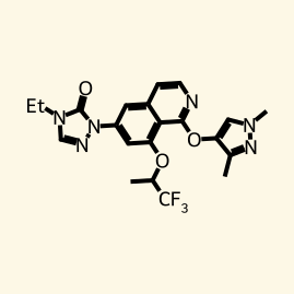 CCn1cnn(-c2cc(OC(C)C(F)(F)F)c3c(Oc4cn(C)nc4C)nccc3c2)c1=O